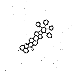 O=c1c2ccc3c4ccc5c6c(ccc(c7ccc(c2c37)c2nc3cccc7cccc(c73)n12)c64)-c1c(-c2ccccc2)c(-c2ccccc2)c(-c2ccccc2)c(-c2ccccc2)c1-5